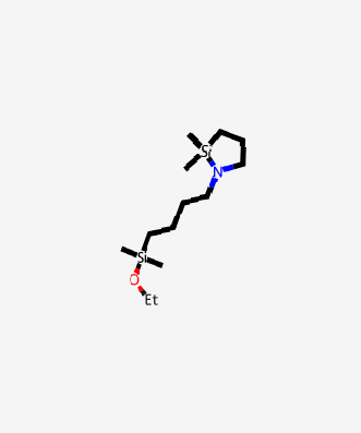 CCO[Si](C)(C)CCCCN1CCC[Si]1(C)C